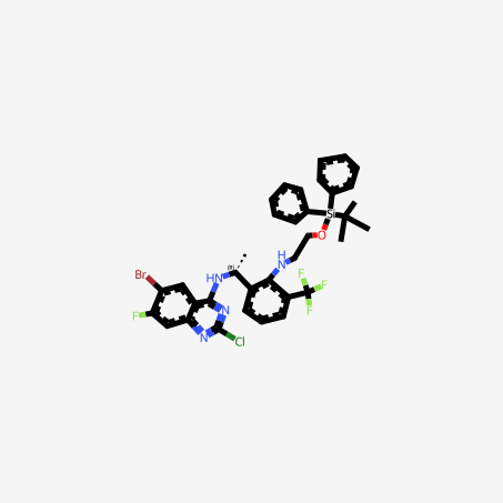 C[C@@H](Nc1nc(Cl)nc2cc(F)c(Br)cc12)c1cccc(C(F)(F)F)c1NCCO[Si](c1ccccc1)(c1ccccc1)C(C)(C)C